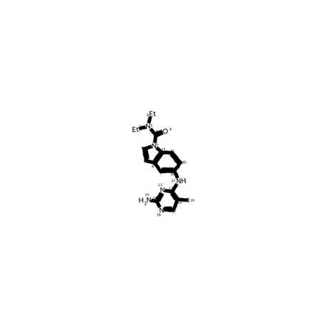 CCN(CC)C(=O)n1ccc2cc(Nc3nc(N)ncc3I)ccc21